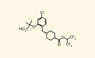 CC(C)(Oc1cc(Cl)ccc1CN1CCN(C(=O)OC(C(F)(F)F)C(F)(F)F)CC1)C(=O)O